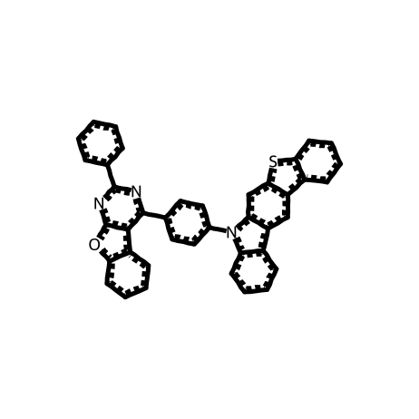 c1ccc(-c2nc(-c3ccc(-n4c5ccccc5c5cc6c(cc54)sc4ccccc46)cc3)c3c(n2)oc2ccccc23)cc1